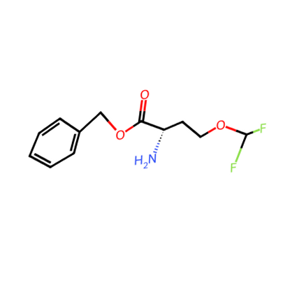 N[C@@H](CCOC(F)F)C(=O)OCc1ccccc1